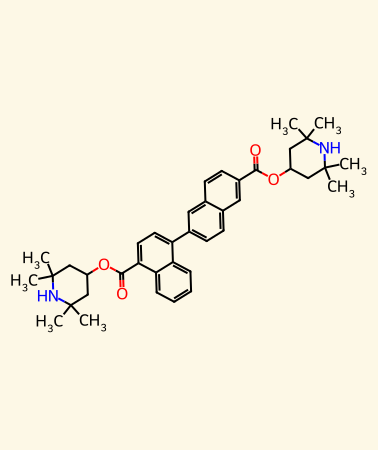 CC1(C)CC(OC(=O)c2ccc3cc(-c4ccc(C(=O)OC5CC(C)(C)NC(C)(C)C5)c5ccccc45)ccc3c2)CC(C)(C)N1